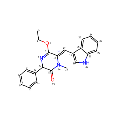 CCOC1=NC(c2ccccc2)C(=O)N(C)/C1=C\c1c[nH]c2ccccc12